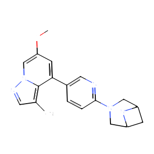 CCOc1cc(-c2ccc(N3CC4CC(C3)N4)nc2)c2c(C#N)cnn2c1